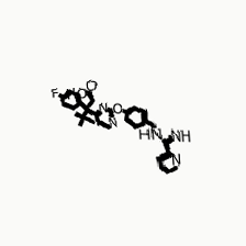 CC(C)(C)C(CC(=O)O)(c1ccc(F)cc1)c1ccnc(Oc2ccc(CNC(=N)c3ccccn3)cc2)n1